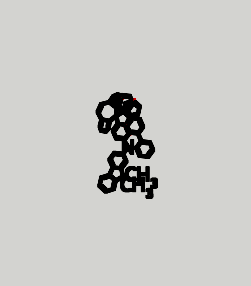 CC1(C)c2ccccc2-c2ccc(N(c3ccc4c(c3)-c3ccccc3C43c4ccccc4C=Cc4ccccc43)c3ccccc3-c3ccc(-c4ccccc4)cc3)cc21